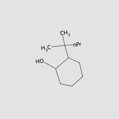 CCCC(C)(C)C1CCCCC1O